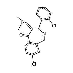 CN(C)C=C1C(=O)c2ccc(Cl)cc2C=NC1c1ccccc1Cl